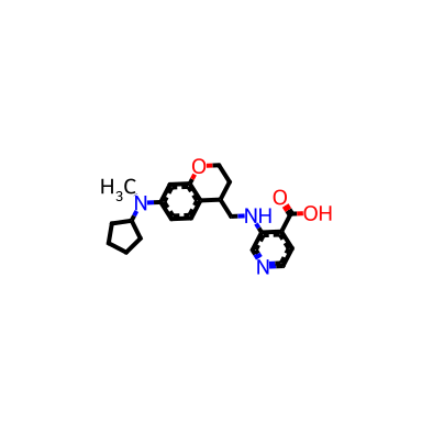 CN(c1ccc2c(c1)OCCC2CNc1cnccc1C(=O)O)C1CCCC1